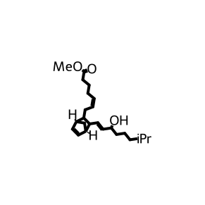 COC(=O)CCC/C=C\CC1C(C=CC(O)CCCC(C)C)[C@H]2C=C[C@H]1C2